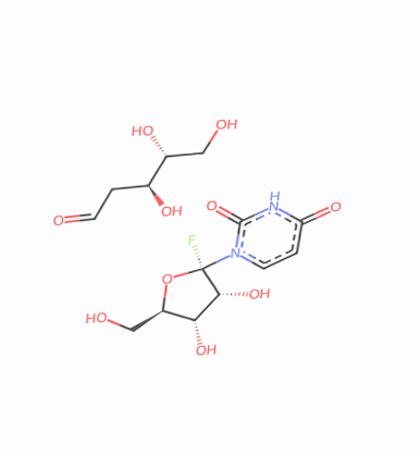 O=CC[C@H](O)[C@H](O)CO.O=c1ccn([C@]2(F)O[C@H](CO)[C@@H](O)[C@H]2O)c(=O)[nH]1